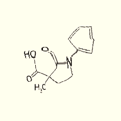 CC1(C(=O)O)CCN(c2ccccc2)C1=O